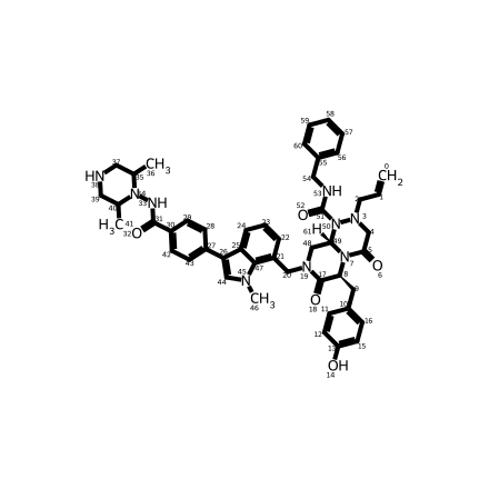 C=CCN1CC(=O)N2[C@@H](Cc3ccc(O)cc3)C(=O)N(Cc3cccc4c(-c5ccc(C(=O)NN6C(C)CNCC6C)cc5)cn(C)c34)C[C@@H]2N1C(=O)NCc1ccccc1